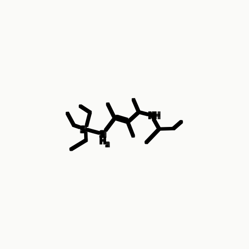 CCC(C)NC(C)C(C)=C(C)[SiH2][Si](CC)(CC)CC